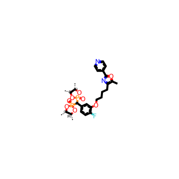 Cc1oc(-c2ccncc2)nc1CCCCOc1cc(C(P2(=O)O[C@@H](C)[C@@H](C)O2)P2(=O)O[C@@H](C)[C@@H](C)O2)ccc1F